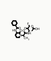 CC(C(=O)N[C@@H](CC(=O)O)C(=O)CF)n1cccc(NC(=O)c2ccccc2)c1=O